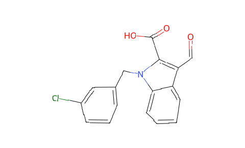 O=Cc1c(C(=O)O)n(Cc2cccc(Cl)c2)c2ccccc12